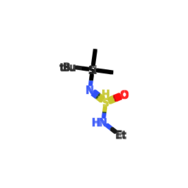 CCN/[SH](=O)=N/[Si](C)(C)C(C)(C)C